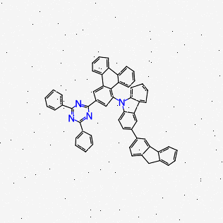 c1ccc(-c2nc(-c3ccccc3)nc(-c3cc(-n4c5ccccc5c5cc(-c6ccc7c(c6)-c6ccccc6C7)ccc54)c4c5ccccc5c5ccccc5c4c3)n2)cc1